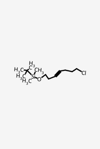 CC(C)(C)[Si](C)(C)OCCC#CCCCCl